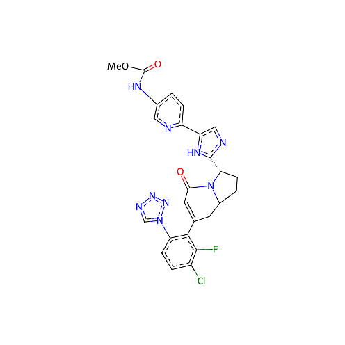 COC(=O)Nc1ccc(-c2cnc([C@@H]3CCC4CC(c5c(-n6cnnn6)ccc(Cl)c5F)=CC(=O)N43)[nH]2)nc1